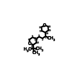 CC(CCN1CCOC(C(C)(C)C)C1)C1CCOCC1